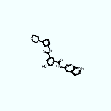 Cl.O=C(Nc1cccc(N2CCOCC2)c1)c1cccc(C(=O)Nc2cnc3[nH]ccc3c2)c1